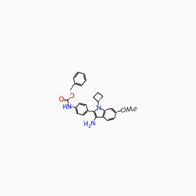 COc1ccc2c(N)c(-c3ccc(NC(=O)OCc4ccccc4)cc3)n(C3CCC3)c2c1